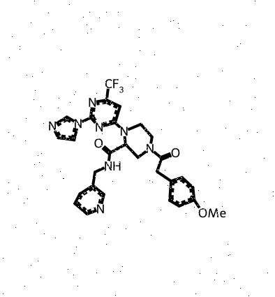 COc1ccc(CC(=O)N2CCN(c3cc(C(F)(F)F)nc(-n4ccnc4)n3)C(C(=O)NCc3cccnc3)C2)cc1